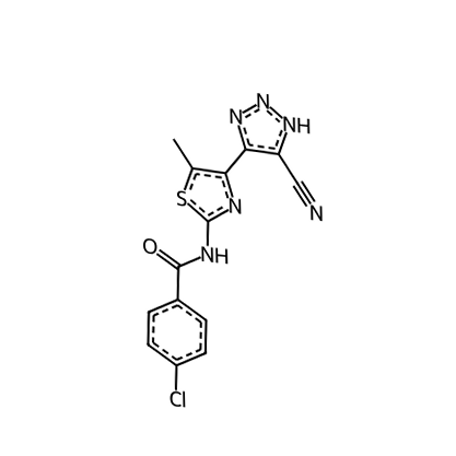 Cc1sc(NC(=O)c2ccc(Cl)cc2)nc1-c1nn[nH]c1C#N